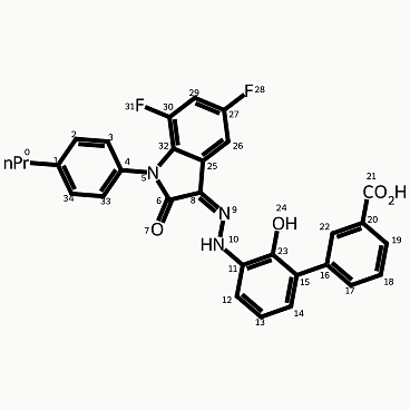 CCCc1ccc(N2C(=O)C(=NNc3cccc(-c4cccc(C(=O)O)c4)c3O)c3cc(F)cc(F)c32)cc1